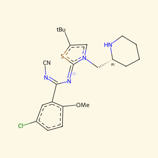 COc1ccc(Cl)cc1C(=NC#N)/N=c1\sc(C(C)(C)C)cn1C[C@H]1CCCCN1